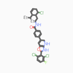 CCC(CC)C1C=CCC(Cl)C1CCNC(=O)c1ccc(C2=CC3=C(NC2)NC(c2c(Cl)ccc(F)c2Cl)O3)cc1